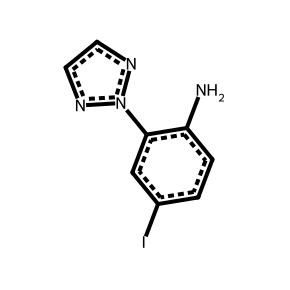 Nc1ccc(I)cc1-n1nccn1